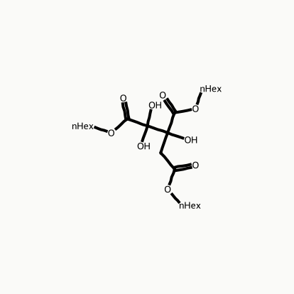 CCCCCCOC(=O)CC(O)(C(=O)OCCCCCC)C(O)(O)C(=O)OCCCCCC